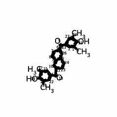 Cc1cc(C(=O)c2ccc3cc(C(=O)c4cc(C)c(O)c(C)c4)ccc3c2)cc(C)c1O